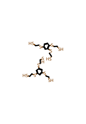 SCCSc1cc(SCCS)cc(SCCS)c1.SCCSc1ccc(SCCS)c(SCCS)c1